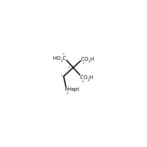 CCCCCCCCC(C(=O)O)(C(=O)O)C(=O)O